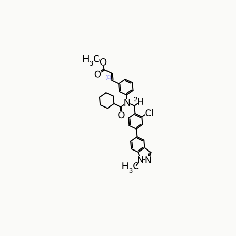 [2H]C(c1ccc(-c2ccc3c(cnn3C)c2)cc1Cl)N(C(=O)C1CCCCC1)c1cccc(/C=C/C(=O)OC)c1